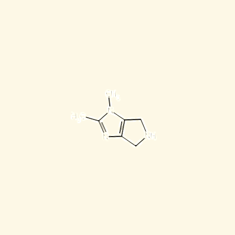 Cc1nc2c(n1C)CNC2